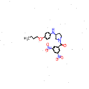 CCCCOc1ccc(NC2CCN(C(=O)c3cc([N+](=O)[O-])cc([N+](=O)[O-])c3)C2)cc1